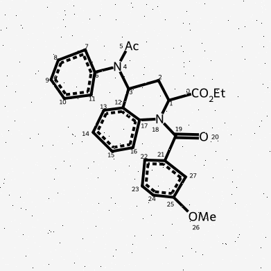 CCOC(=O)C1CC(N(C(C)=O)c2ccccc2)c2ccccc2N1C(=O)c1cccc(OC)c1